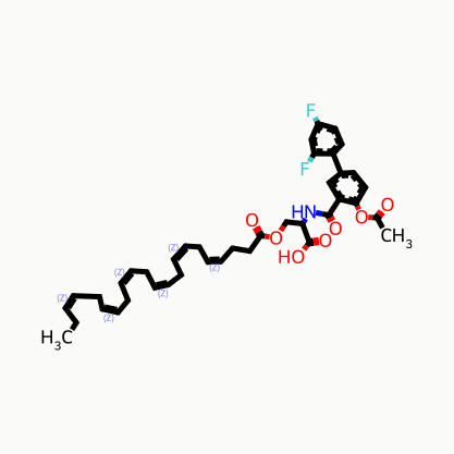 CC/C=C\C/C=C\C/C=C\C/C=C\C/C=C\C/C=C\CCC(=O)OCC(NC(=O)c1cc(-c2ccc(F)cc2F)ccc1OC(C)=O)C(=O)O